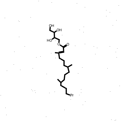 CC(=CC(=O)OCC(O)C(O)CO)CCCC(C)CCCC(C)CCCC(C)C